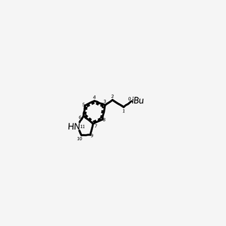 CCC(C)CCc1ccc2c(c1)CCN2